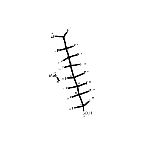 CCC(F)C(F)(F)C(F)(F)C(F)(F)C(F)(F)C(F)(F)C(F)(F)C(F)(F)S(=O)(=O)O.CNC